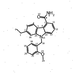 CCc1c[c]c2c3c(C(N)=O)cccc3n(Cc3ccccc3OC)c2c1